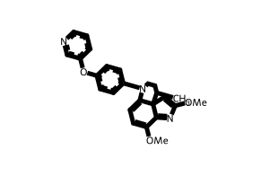 COC1=CC23C(=CC=C(OC)C2=N1)N(c1ccc(Oc2cccnc2)cc1)CCC3C